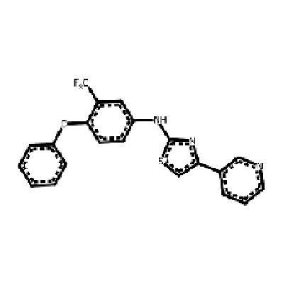 FC(F)(F)c1cc(Nc2nc(-c3cccnc3)cs2)ccc1Oc1ccccc1